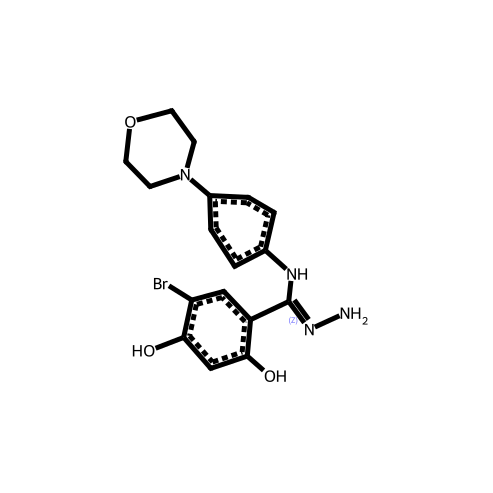 N/N=C(\Nc1ccc(N2CCOCC2)cc1)c1cc(Br)c(O)cc1O